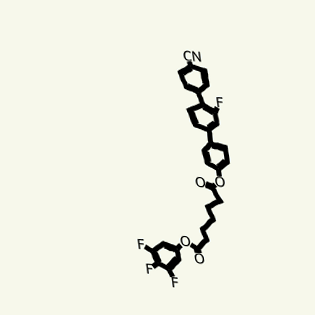 N#Cc1ccc(-c2ccc(-c3ccc(OC(=O)CCCCCC(=O)Oc4cc(F)c(F)c(F)c4)cc3)cc2F)cc1